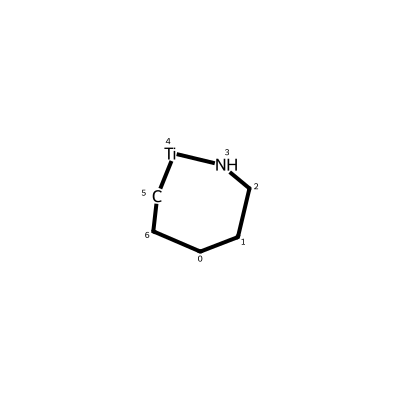 C1CC[NH][Ti][CH2]C1